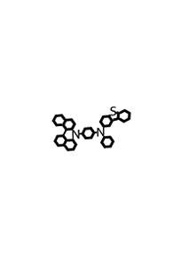 c1ccc(N(c2ccc(N3c4ccc5ccccc5c4-c4cccc5cccc3c45)cc2)c2ccc3sc4ccccc4c3c2)cc1